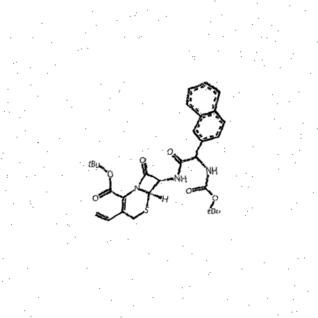 C=CC1=C(C(=O)OC(C)(C)C)N2C(=O)[C@@H](NC(=O)C(NC(=O)OC(C)(C)C)c3ccc4ccccc4c3)[C@@H]2SC1